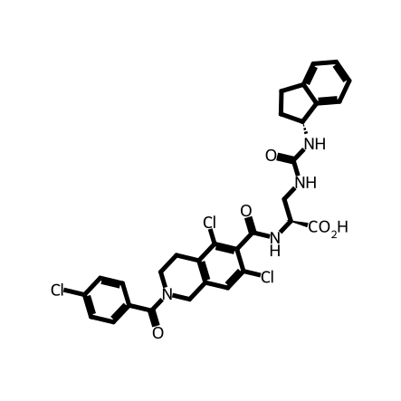 O=C(NC[C@H](NC(=O)c1c(Cl)cc2c(c1Cl)CCN(C(=O)c1ccc(Cl)cc1)C2)C(=O)O)N[C@@H]1CCc2ccccc21